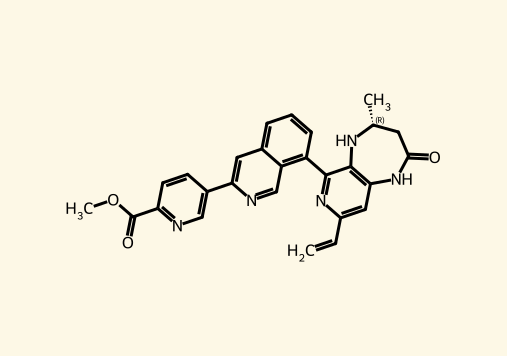 C=Cc1cc2c(c(-c3cccc4cc(-c5ccc(C(=O)OC)nc5)ncc34)n1)N[C@H](C)CC(=O)N2